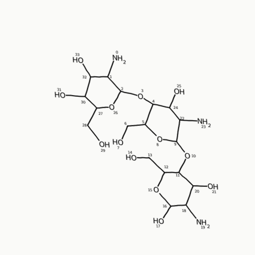 NC1C(OC2C(CO)OC(OC3C(CO)OC(O)C(N)C3O)C(N)C2O)OC(CO)C(O)C1O